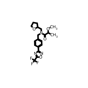 COC(C)C(=O)N(Cc1ccc(-c2noc(C(F)(F)F)n2)cc1)CC1CCCO1